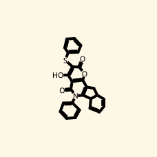 O=c1oc2c3c(n(-c4ccccc4)c(=O)c2c(O)c1Sc1ccccc1)C1C=CC=CC1C3